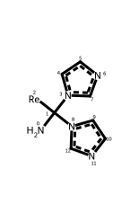 N[C]([Re])(n1ccnc1)n1ccnc1